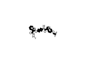 NC(=O)c1c(OC2CC3(CC(NC(=O)c4cnn5cc(OCC(F)F)ccc45)C3)C2)nn2ccccc12